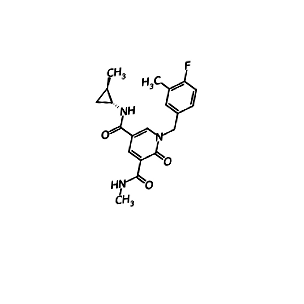 CNC(=O)c1cc(C(=O)N[C@@H]2C[C@H]2C)cn(Cc2ccc(F)c(C)c2)c1=O